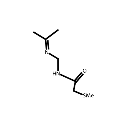 CSCC(=O)NCN=C(C)C